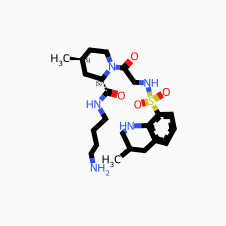 CC1CNc2c(cccc2S(=O)(=O)NCC(=O)N2CC[C@H](C)C[C@H]2C(=O)NCCCCN)C1